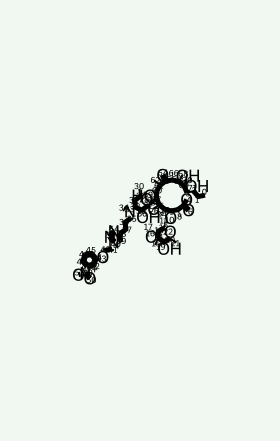 CCC[C@H]1OC(=O)[C@H](C)[C@@H](OC[C@H]2C[C@@](C)(OC)[C@@H](O)[C@H](C)O2)[C@H](C)[C@@H](O[C@@H]2O[C@H](C)C[C@H](N(C)CCCc3cn(CCOc4cccc([N+](=O)[O-])c4)nn3)[C@H]2O)[C@](C)(O)C[C@@H](C)C(=O)[C@H](C)[C@@H](O)[C@]1(C)O